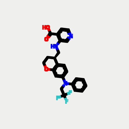 O=C(O)c1ccncc1NC[C@@H]1CCOc2cc(N(CC(F)(F)F)c3ccccc3)ccc21